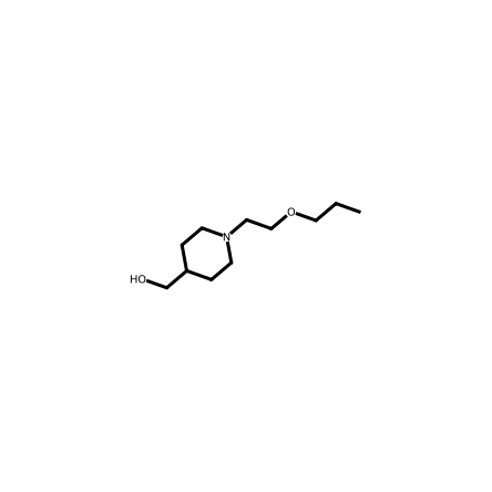 CCCOCCN1CCC(CO)CC1